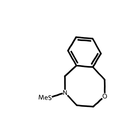 CSN1CCOCc2ccccc2C1